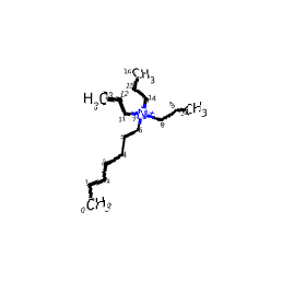 CCCCCCC[N+](CCC)(CCC)CCC